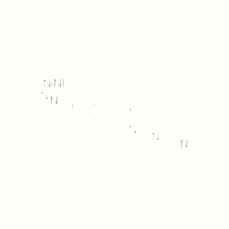 O=C(CN1CCN(c2ccncc2)CC1)c1ccc(OCc2nnn[nH]2)cc1